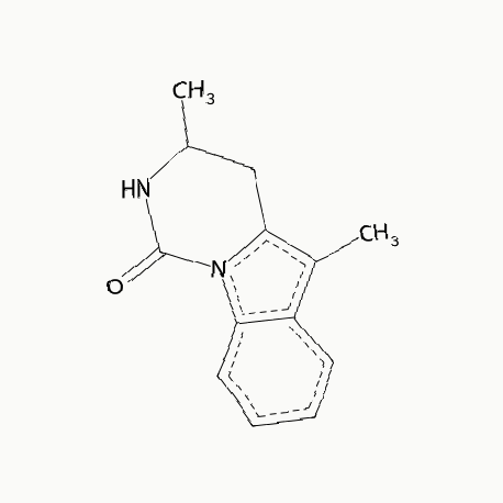 Cc1c2n(c3ccccc13)C(=O)NC(C)C2